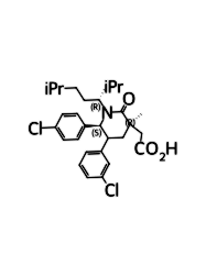 CC(C)CC[C@H](C(C)C)N1C(=O)[C@@](C)(CC(=O)O)CC(c2cccc(Cl)c2)[C@H]1c1ccc(Cl)cc1